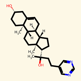 CC(O)(CCc1cncnc1)[C@H]1CC[C@H]2[C@@H]3CC=C4C[C@@H](O)CC[C@]4(C)[C@H]3CC[C@]12C